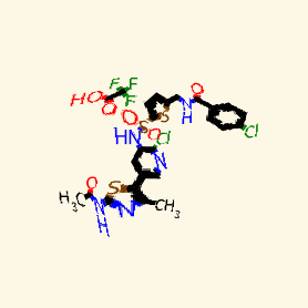 CC(=O)Nc1nc(C)c(-c2cnc(Cl)c(NS(=O)(=O)c3ccc(CNC(=O)c4ccc(Cl)cc4)s3)c2)s1.O=C(O)C(F)(F)F